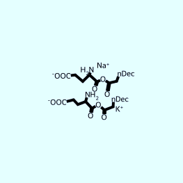 CCCCCCCCCCCC(=O)OC(=O)C(N)CCC(=O)[O-].CCCCCCCCCCCC(=O)OC(=O)C(N)CCC(=O)[O-].[K+].[Na+]